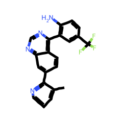 Cc1cccnc1-c1ccc2c(-c3cc(C(F)(F)F)ccc3N)ncnc2c1